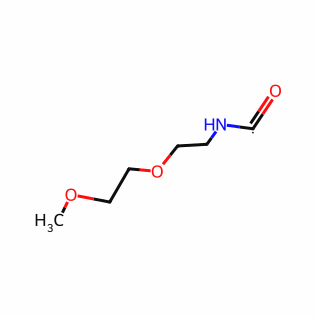 COCCOCCN[C]=O